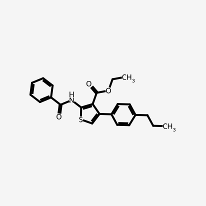 CCCc1ccc(-c2csc(NC(=O)c3ccccc3)c2C(=O)OCC)cc1